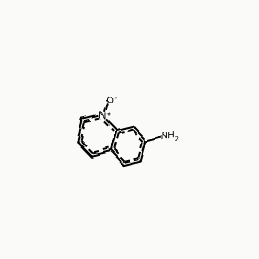 Nc1ccc2ccc[n+]([O-])c2c1